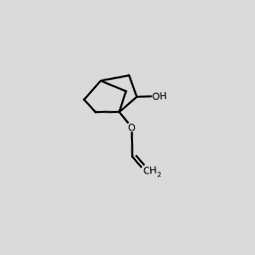 C=COC12CCC(CC1O)C2